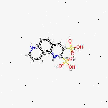 O=S(=O)(O)c1cc2ccc3ncccc3c2nc1S(=O)(=O)O